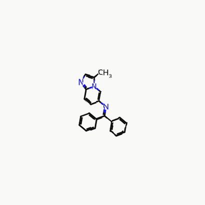 Cc1cnc2ccc(N=C(c3ccccc3)c3ccccc3)cn12